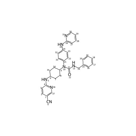 N#Cc1ccc(NC2CCC(N(C(=O)NCc3ccccc3)c3ccc(Nc4ccccn4)cc3)CC2)nc1